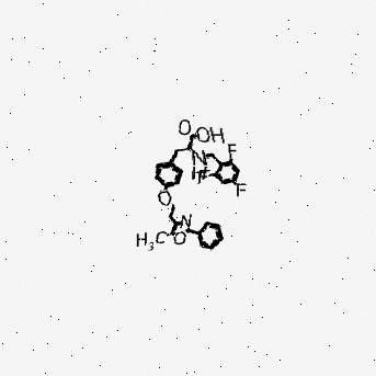 Cc1oc(-c2ccccc2)nc1CCOc1ccc(C[C@H](NCc2c(F)cc(F)cc2F)C(=O)O)cc1